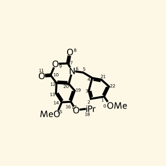 COc1ccc(Cn2c(=O)oc(=O)c3cc(OC)c(OC(C)C)cc32)cc1